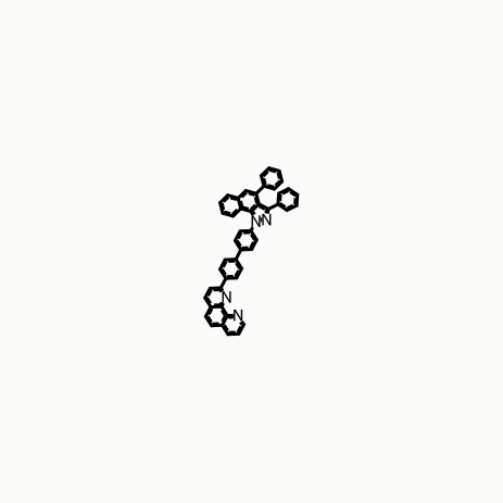 c1ccc(-c2cc3ccccc3c3c2c(-c2ccccc2)nn3-c2ccc(-c3ccc(-c4ccc5ccc6cccnc6c5n4)cc3)cc2)cc1